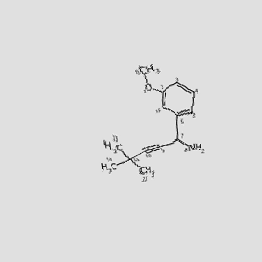 COc1cccc(C(N)C#CC(C)(C)C)c1